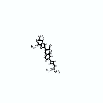 Cc1cn2cc(-c3cc4ccc(N5CC(CN(C)C)C5)cc4oc3=O)nc2c(C)n1